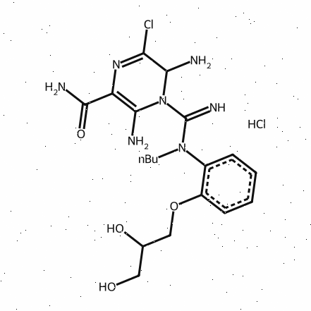 CCCCN(C(=N)N1C(N)=C(C(N)=O)N=C(Cl)C1N)c1ccccc1OCC(O)CO.Cl